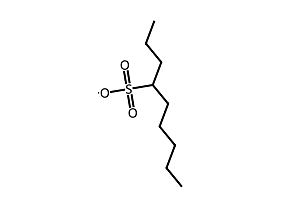 CCCCCC(CCC)S([O])(=O)=O